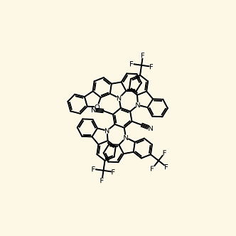 N#Cc1c(-n2c3ccccc3c3cc(C(F)(F)F)ccc32)c(-n2c3ccccc3c3cc(C(F)(F)F)ccc32)c(C#N)c(-n2c3ccccc3c3ccc4c5ccccc5oc4c32)c1-n1c2ccccc2c2cc(C(F)(F)F)ccc21